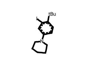 CC(C)(C)c1ccc(N2CCCCC2)cc1I